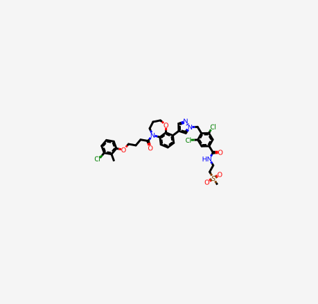 Cc1c(Cl)cccc1OCCCC(=O)N1CCCOc2c(-c3cnn(Cc4c(Cl)cc(C(=O)NCCS(C)(=O)=O)cc4Cl)c3)cccc21